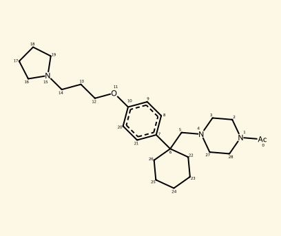 CC(=O)N1CCN(CC2(c3ccc(OCCCN4CCCC4)cc3)CCCCC2)CC1